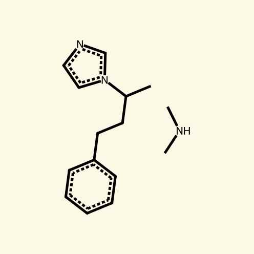 CC(CCc1ccccc1)n1ccnc1.CNC